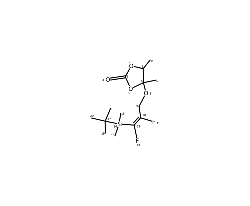 CC1OC(=O)OC1(C)OCC(F)=C(F)[Si](C)(C)C(C)(C)C